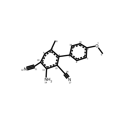 COc1ccc(-c2c(C)cc(C#N)c(N)c2C#N)cc1